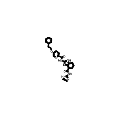 O=C(Nc1nc2c(C(=O)Nc3ncc[nH]3)cccc2[nH]1)c1ccc(OCCc2ccccc2)cn1